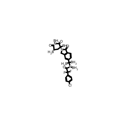 BC1CC(B)(N2Cc3cc(C(B)(B)N(B)C(=O)C(F)(F)c4ccc(Cl)cc4)ccc3C2=O)C(=O)N(B)C1=O